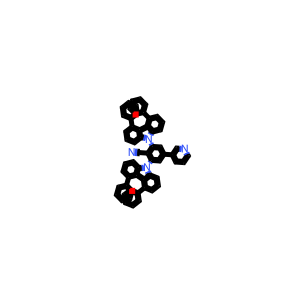 N#Cc1c(-n2c3cccc(-c4ccccc4)c3c3c(-c4ccccc4)cccc32)cc(-c2cccnc2)cc1-n1c2cccc(-c3ccccc3)c2c2c(-c3ccccc3)cccc21